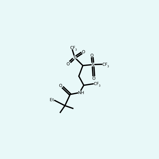 CCC(C)(C)C(=O)NC(CC(S(=O)(=O)C(F)(F)F)S(=O)(=O)C(F)(F)F)C(F)(F)F